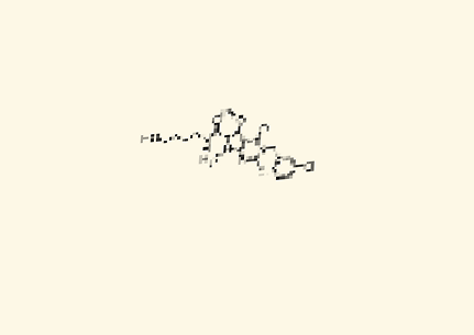 CCc1nc2c(c(OC(C)C)c(C(=O)NCCCCO)n2C)c(=O)n1Cc1cccc(Cl)c1